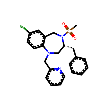 CS(=O)(=O)N1Cc2cc(Br)ccc2N(Cc2ccccn2)C[C@H]1Cc1ccccc1